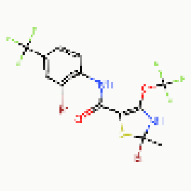 CC1(Br)NC(OC(F)(F)F)=C(C(=O)Nc2ccc(C(F)(F)F)cc2Br)S1